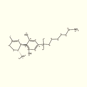 C=C(C)[C@@H]1CCC(C)=C[C@H]1c1c(O)cc(C(C)(C)CCCCCO[N+](=O)[O-])cc1O